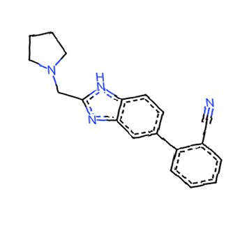 N#Cc1ccccc1-c1ccc2[nH]c(CN3CCCC3)nc2c1